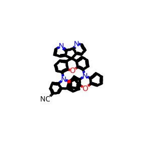 N#Cc1ccc2c(c1)c1ccccc1n2-c1cccc2c1Oc1c(N3c4ccccc4Oc4ccccc43)cccc1C21c2cccnc2-c2ncccc21